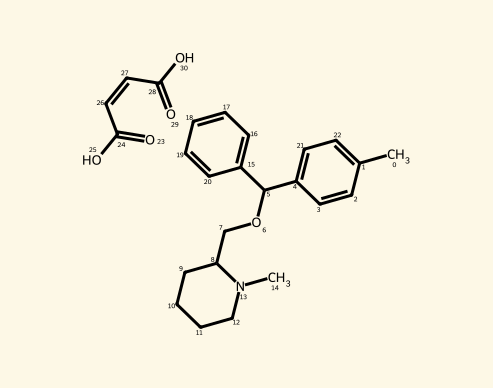 Cc1ccc(C(OCC2CCCCN2C)c2ccccc2)cc1.O=C(O)/C=C\C(=O)O